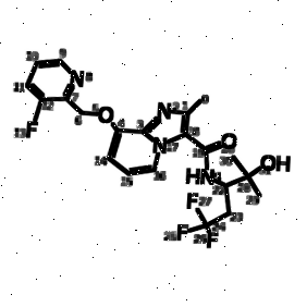 Cc1nc2c(OCc3ncccc3F)cccn2c1C(=O)NC(CC(F)(F)F)C(C)(C)O